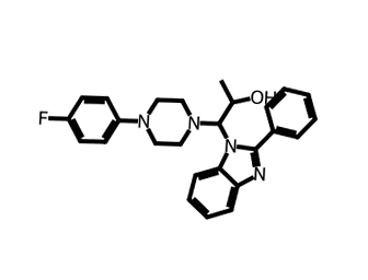 CC(O)C(N1CCN(c2ccc(F)cc2)CC1)n1c(-c2ccccc2)nc2ccccc21